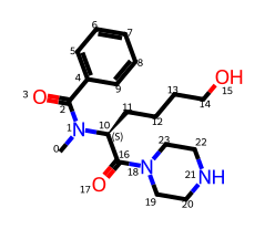 CN(C(=O)c1ccccc1)[C@@H](CCCCO)C(=O)N1CCNCC1